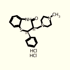 CN1CCN(C[C@@H]2C(=O)Nc3ccccc3S[C@@H]2c2ccccc2)CC1.Cl.Cl